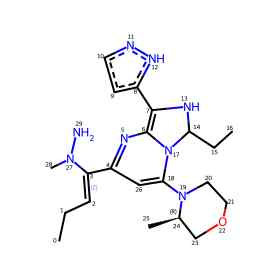 CC/C=C(/C1=NC2=C(c3ccn[nH]3)NC(CC)N2C(N2CCOC[C@H]2C)=C1)N(C)N